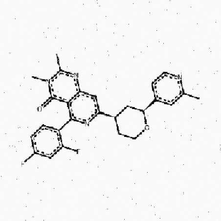 Cc1cc([C@@H]2C[C@H](c3cc4nc(C)n(C)c(=O)c4c(-c4ccc(F)cc4F)n3)CCO2)ccn1